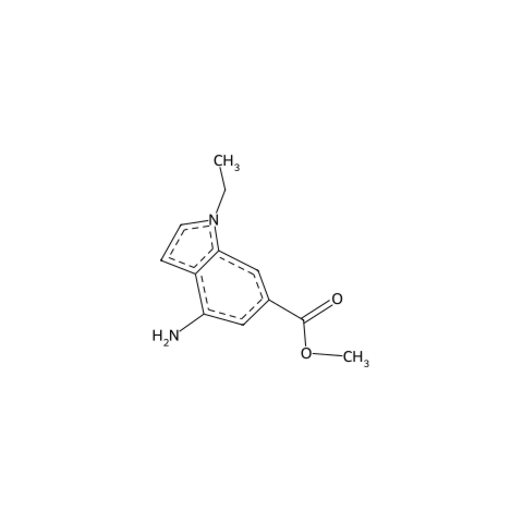 CCn1ccc2c(N)cc(C(=O)OC)cc21